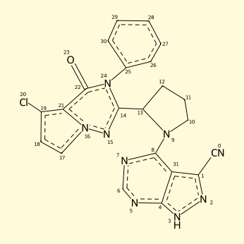 N#Cc1n[nH]c2ncnc(N3CCCC3c3nn4ccc(Cl)c4c(=O)n3-c3ccccc3)c12